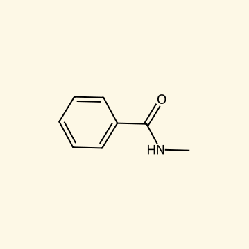 CNC(=O)c1ccccc1